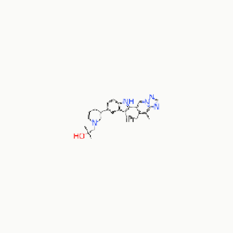 Cc1c(-c2[nH]c3ccc(C4CCCN(CC(C)(C)O)C4)cc3c2C(C)C)cn2ncnc2c1C